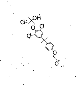 CC(O)(CCl)COc1c(Cl)cc(C(C)(C)c2ccc(OC[C@H]3CO3)cc2)cc1Cl